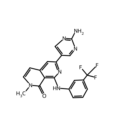 Cn1ccc2cc(-c3cnc(N)nc3)nc(Nc3cccc(C(F)(F)F)c3)c2c1=O